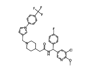 COc1ncc(C(NC(=O)CC2CCN(Cc3ccn(-c4ccc(C(F)(F)F)cc4)c3)CC2)c2ccc(F)cc2)cc1Cl